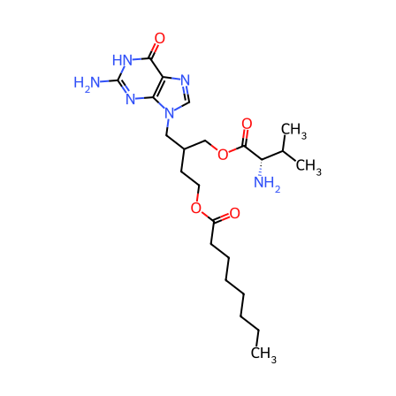 CCCCCCCC(=O)OCCC(COC(=O)[C@@H](N)C(C)C)Cn1cnc2c(=O)[nH]c(N)nc21